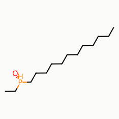 CCCCCCCCCCCC[PH](=O)CC